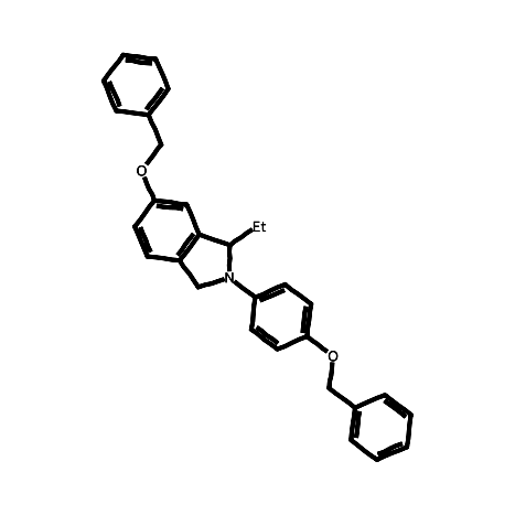 CCC1c2cc(OCc3ccccc3)ccc2CN1c1ccc(OCc2ccccc2)cc1